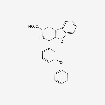 O=C(O)C1Cc2c([nH]c3ccccc23)C(c2cccc(Oc3ccccc3)c2)N1